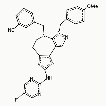 COc1ccc(Cn2ncc3c2N(Cc2cccc(C#N)c2)CCc2sc(Nc4ncc(F)cn4)nc2-3)cc1